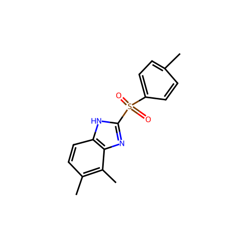 Cc1ccc(S(=O)(=O)c2nc3c(C)c(C)ccc3[nH]2)cc1